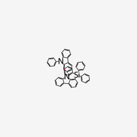 c1ccc(-n2c3ccccc3c3ccc(-n4c5ccccc5c5cccc([Si](c6ccccc6)(c6ccccc6)c6ccccc6)c54)cc32)cc1